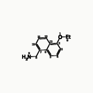 CCOc1cccc2c(CN)cccc12